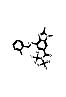 [2H]C([2H])([2H])N(C(=O)c1cc(NCc2ccccc2C)c2nc(C)n(C)c2c1)C([2H])([2H])[2H]